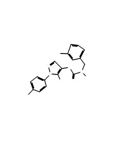 CCN(Cc1cccc(C(F)(F)F)c1)C(=O)Oc1cnn(-c2ccc(Cl)cc2)c1C(F)(F)F